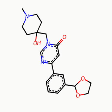 CN1CCC(O)(Cn2cnc(-c3cccc(C4OCCO4)c3)cc2=O)CC1